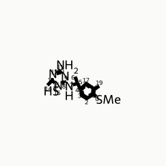 CSc1ccc(C(C)NC2=NC(N)=NC(C)N2S)cc1C